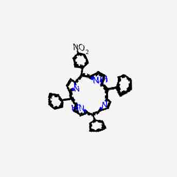 O=[N+]([O-])c1ccc(-c2c3nc(c(-c4ccccc4)c4ccc([nH]4)c(-c4ccccc4)c4nc(c(-c5ccccc5)c5ccc2[nH]5)C=C4)C=C3)cc1